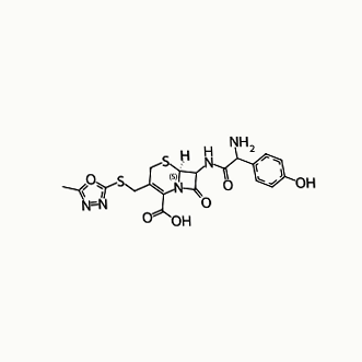 Cc1nnc(SCC2=C(C(=O)O)N3C(=O)C(NC(=O)C(N)c4ccc(O)cc4)[C@@H]3SC2)o1